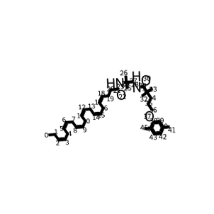 CC/C=C\C/C=C\C/C=C\C/C=C\C/C=C\C/C=C\CCC(=O)NC(C)(C)CNC(=O)C(C)(C)CCCOc1cc(C)ccc1C